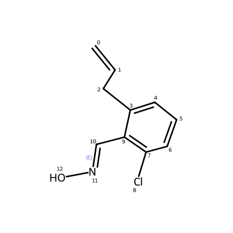 C=CCc1cccc(Cl)c1/C=N/O